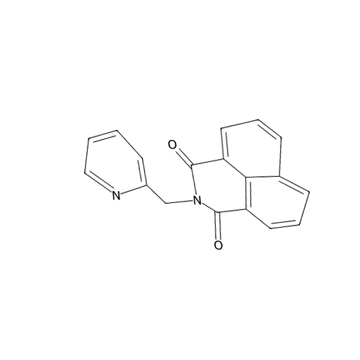 O=C1c2cccc3cccc(c23)C(=O)N1Cc1ccccn1